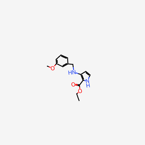 CCOC(=O)c1[nH]ccc1NCc1cccc(OC)c1